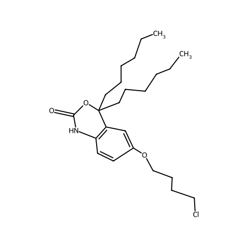 CCCCCCC1(CCCCCC)OC(=O)Nc2ccc(OCCCCCl)cc21